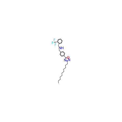 CCCCCCCCCCCc1noc(-c2ccc(CNCc3ccccc3C(F)(F)F)cc2)n1